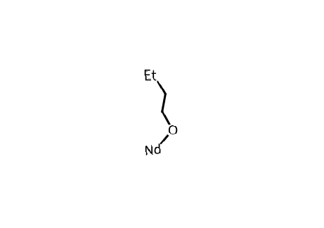 CCCC[O][Nd]